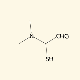 CN(C)C(S)C=O